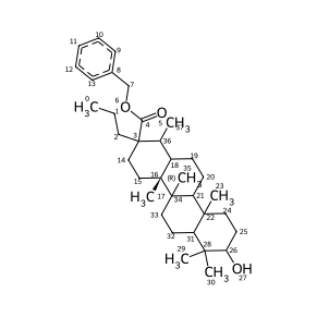 CCCC1(C(=O)OCc2ccccc2)CC[C@]2(C)C(CCC3C4(C)CCC(O)C(C)(C)C4CCC32C)C1C